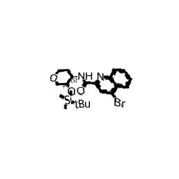 CC(C)(C)[Si](C)(C)O[C@H]1COCC[C@@H]1NC(=O)c1cc(Br)c2ccccc2n1